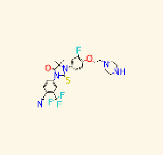 CC1(C)C(=O)N(c2ccc(C#N)c(C(F)(F)F)c2)C(=S)N1c1ccc(OCCN2CCNCC2)c(F)c1